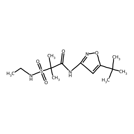 CCNS(=O)(=O)C(C)(C)C(=O)Nc1cc(C(C)(C)C)on1